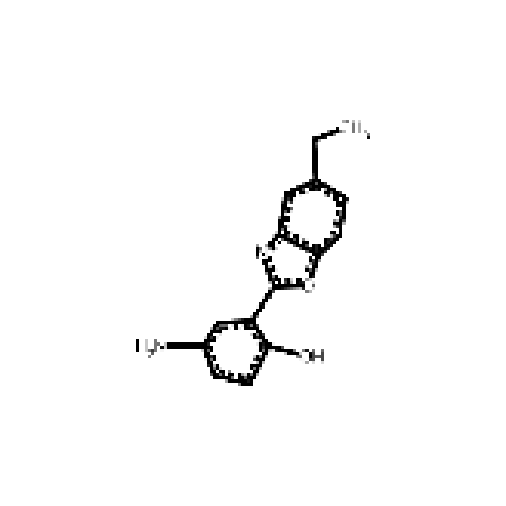 CCc1ccc2oc(-c3cc(N)ccc3O)nc2c1